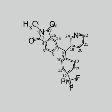 CN1C(=O)c2ccc(C(c3ccc(C(F)(F)F)cc3)c3cccnc3)cc2C1=O